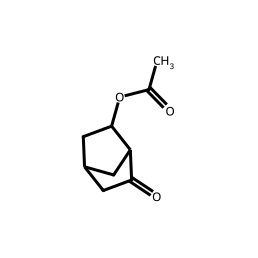 CC(=O)OC1CC2CC(=O)C1C2